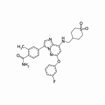 Cc1cc(-c2cnc3c(NCC4CCS(=O)(=O)CC4)cc(Oc4cccc(F)c4)nn23)ccc1C(N)=O